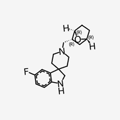 Fc1ccc2c(c1)C1(CCN(C[C@H]3C[C@H]4CC[C@H]3O4)CC1)CN2